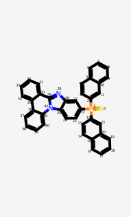 S=P(c1ccc2ccccc2c1)(c1ccc2ccccc2c1)c1ccc2c(c1)nc1c3ccccc3c3ccccc3n21